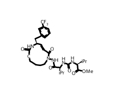 COC(=O)[C@@H](NC(=O)N[C@H](C(=O)NN1CCCCCC(=O)N[C@@H](Cc2cccc(C(F)(F)F)c2)/C=C/C1=O)C(C)C)C(C)C